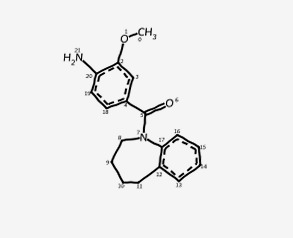 COc1cc(C(=O)N2CCCCc3ccccc32)ccc1N